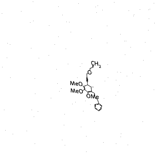 C=CCOCC#CC1[CH]C(CCCc2ccccc2)=C(OC)C(OC)=C1OC